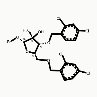 C[C@]1(O)[C@@H](OBr)O[C@H](COCc2ccc(Cl)cc2Cl)[C@H]1OCc1ccc(Cl)cc1Cl